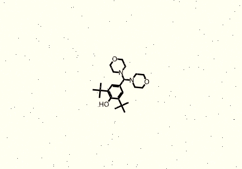 CC(C)(C)c1cc(C(N2CCOCC2)N2CCOCC2)cc(C(C)(C)C)c1O